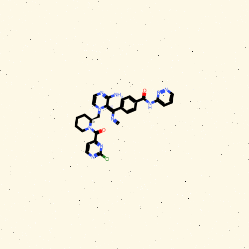 C=N/C(=C1/C(N)=NC=CN1C[C@@H]1CCCCN1C(=O)c1ccnc(Cl)n1)c1ccc(C(=O)Nc2cccnn2)cc1